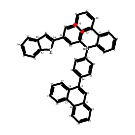 c1ccc(-c2ccccc2N(c2ccc(-c3cc4ccccc4c4ccccc34)cc2)c2cccc(-c3cc4ccccc4o3)c2)cc1